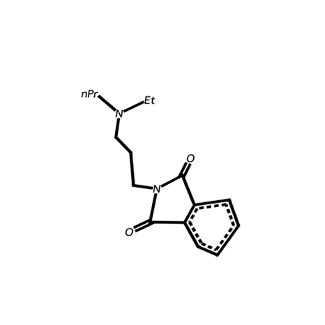 CCCN(CC)CCCN1C(=O)c2ccccc2C1=O